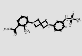 COC(=O)c1cccc(N2CC3(CN(c4cccc(NS(C)(=O)=O)c4)C3)C2)c1[N+](=O)[O-]